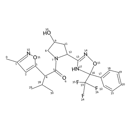 Cc1cc(C(C(=O)N2CC(O)CC2C2=NOC(c3ccccc3)(C(F)(F)F)N2)C(C)C)on1